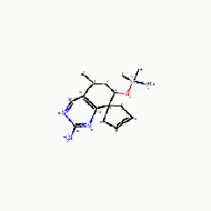 CC1CC(O[Si](C)(C)C(C)(C)C)C2(CC=CC2)c2nc(N)ncc21